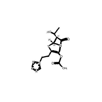 CC(O)[C@H]1C(=O)N2C(OC(=O)O)=C(CCn3cnnn3)S[C@H]12